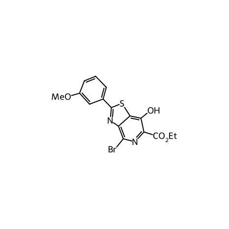 CCOC(=O)c1nc(Br)c2nc(-c3cccc(OC)c3)sc2c1O